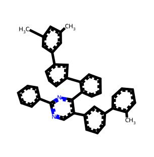 Cc1cc(C)cc(-c2cccc(-c3ccccc3-c3nc(-c4ccccc4)ncc3-c3cccc(-c4ccccc4C)c3)c2)c1